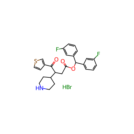 Br.O=C(CC(C(=O)c1ccsc1)C1CCNCC1)OC(c1cccc(F)c1)c1cccc(F)c1